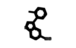 Cc1ccccc1-c1csc2ccc(C=O)cc12